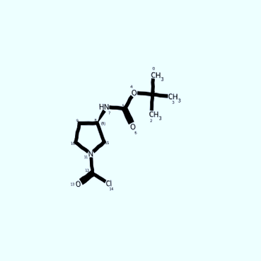 CC(C)(C)OC(=O)N[C@@H]1CCN(C(=O)Cl)C1